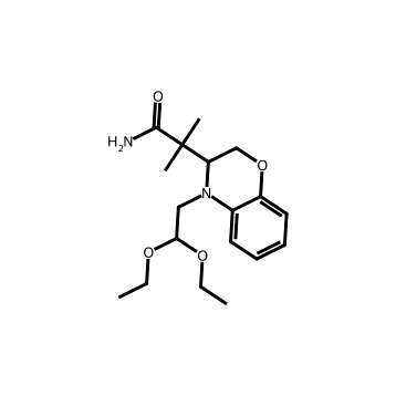 CCOC(CN1c2ccccc2OCC1C(C)(C)C(N)=O)OCC